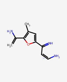 C=C(N)c1oc(C(=N)/C=C\N)cc1C